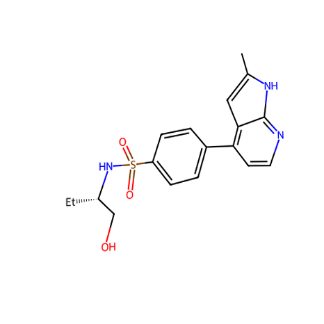 CC[C@@H](CO)NS(=O)(=O)c1ccc(-c2ccnc3[nH]c(C)cc23)cc1